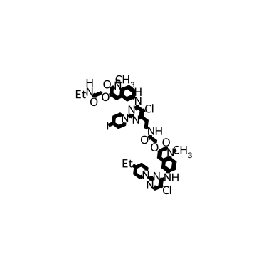 CCNC(=O)COc1cc2cc(Nc3nc(N4CCC(I)CC4)nc(CCNC(=O)COc4cc5cc(Nc6nc(N7CCC(CC)CC7)ncc6Cl)ccc5n(C)c4=O)c3Cl)ccc2n(C)c1=O